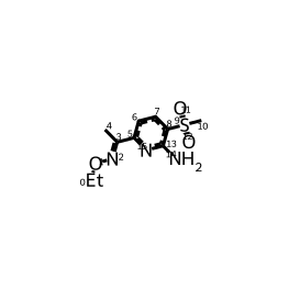 CCON=C(C)c1ccc(S(C)(=O)=O)c(N)n1